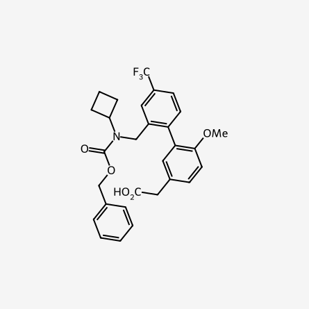 COc1ccc(CC(=O)O)cc1-c1ccc(C(F)(F)F)cc1CN(C(=O)OCc1ccccc1)C1CCC1